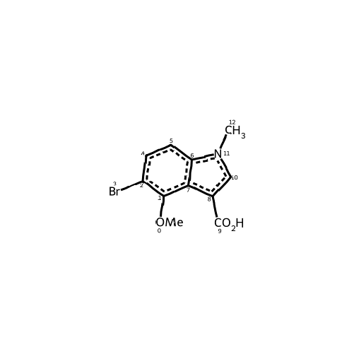 COc1c(Br)ccc2c1c(C(=O)O)cn2C